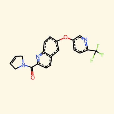 O=C(c1ccc2cc(Oc3ccc(C(F)(F)F)nc3)ccc2n1)N1CC=CC1